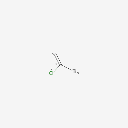 C=[C](Cl)[Ti]